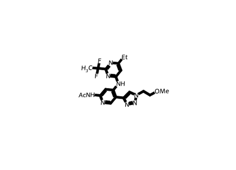 CCc1cc(Nc2cc(NC(C)=O)ncc2-c2cn(CCOC)nn2)nc(C(C)(F)F)n1